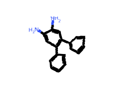 Nc1cc(-c2ccccc2)c(-c2ccccc2)cc1N